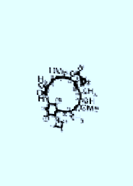 CO[C@H]1/C=C\C=C(/C)C(=O)NC2=CC(=O)C(N3CCC3)=C(C[C@@H](C)C[C@H](OC)[C@H](O)[C@@H](C)/C=C(\C)[C@@H]1OC(=O)C1CC1)C2=O